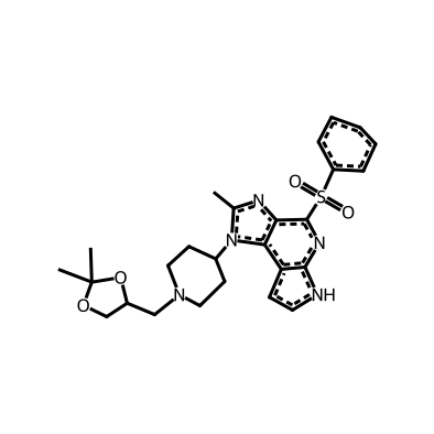 Cc1nc2c(S(=O)(=O)c3ccccc3)nc3[nH]ccc3c2n1C1CCN(CC2COC(C)(C)O2)CC1